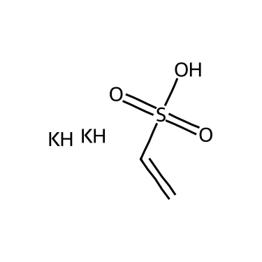 C=CS(=O)(=O)O.[KH].[KH]